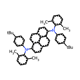 Cc1cccc(C)c1N(c1ccc(C(C)(C)C)cc1)c1ccc2ccc3c(N(c4ccc(C(C)(C)C)cc4)c4c(C)cccc4C)ccc4ccc1c2c43